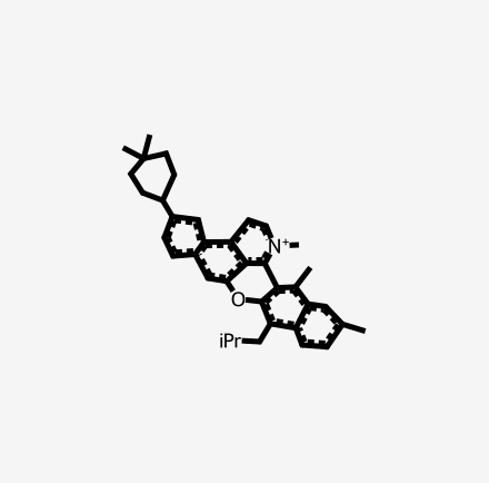 Cc1ccc2c(CC(C)C)c3c(c(C)c2c1)-c1c2c(cc4ccc(C5CCC(C)(C)CC5)cc4c2cc[n+]1C)O3